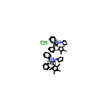 CC1=C(C)C(C)[C]([Hf+]([NH]C2CCCC2)[SiH](c2ccccc2)c2ccccc2)=C1C.CC1=C(C)C(C)[C]([Hf+]([NH]C2CCCC2)[SiH](c2ccccc2)c2ccccc2)=C1C.[Cl-].[Cl-]